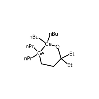 CCC[CH2][Ge]1([CH2]CCC)[O]C(CC)(CC)C[CH2][Ge]1([CH2]CC)[CH2]CC